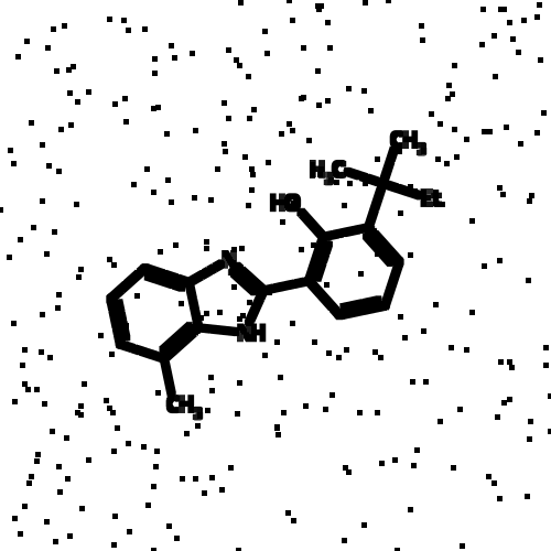 CCC(C)(C)c1cccc(-c2nc3cccc(C)c3[nH]2)c1O